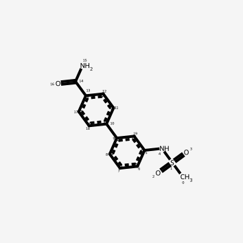 CS(=O)(=O)Nc1cccc(-c2ccc(C(N)=O)cc2)c1